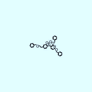 O=c1oc2cc(CCOCc3ccccc3)ccc2n1-c1ccc(OCc2ccccc2)nc1OCc1ccccc1